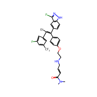 CCC(=C(c1ccc(OCCNCC=CC(=O)N(C)C)cc1)c1ccc2[nH]nc(F)c2c1)c1cc(F)cc(C(F)(F)F)c1